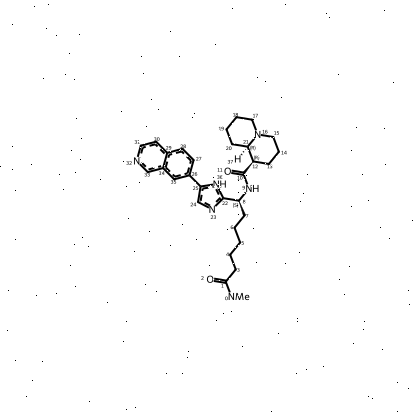 CNC(=O)CCCCC[C@H](NC(=O)[C@@H]1CCCN2CCCC[C@H]12)c1ncc(-c2ccc3ccncc3c2)[nH]1